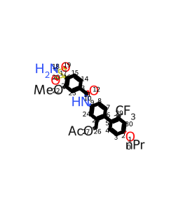 CCCOc1ccc(-c2ccc(NC(=O)c3ccc(S(N)(=O)=O)c(OC)c3)cc2COC(C)=O)c(C(F)(F)F)c1